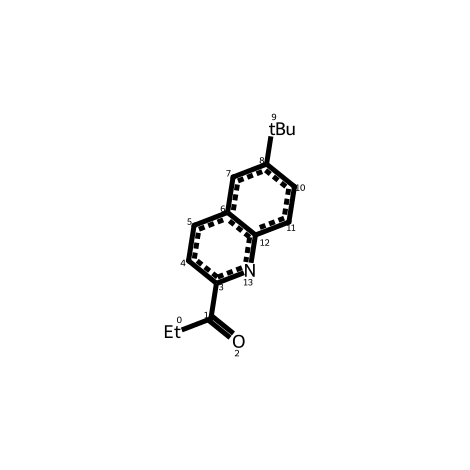 CCC(=O)c1ccc2cc(C(C)(C)C)ccc2n1